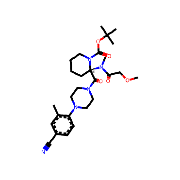 COCC(=O)N(C)[C@@]1(C(=O)N2CCN(c3ccc(C#N)cc3C)CC2)CCCCN1C(=O)OC(C)(C)C